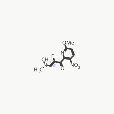 COc1ccc([N+](=O)[O-])c(C(=O)/C(F)=C/N(C)C)n1